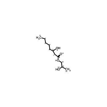 CCCCCC(O)CC(=O)OCC(C)O